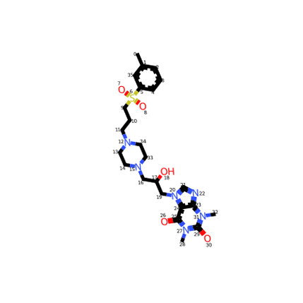 Cc1cccc(S(=O)(=O)CCCN2CCN(CC(O)Cn3cnc4c3c(=O)n(C)c(=O)n4C)CC2)c1